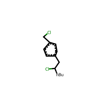 CCCCC(Cl)Cc1ccc(CCl)cc1